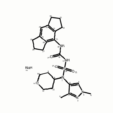 Cc1nn(C)cc1N(C1CCOCC1)S(=O)(=O)NC(=O)Nc1c2c(cc3c1CCC3)CCC2.[NaH]